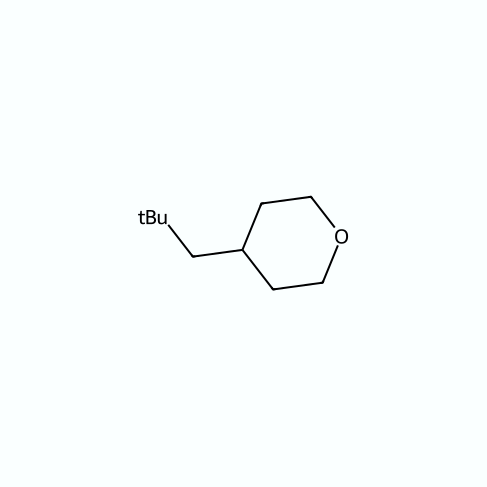 CC(C)(C)CC1CCOCC1